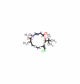 CC1CCCC/C(=C\Cl)CC(C(C)(C)C)OC(=O)C/C=C/N(C)C1=O